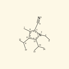 CCn1c(C#N)c(C)c(C(C)C)c1C(C)C